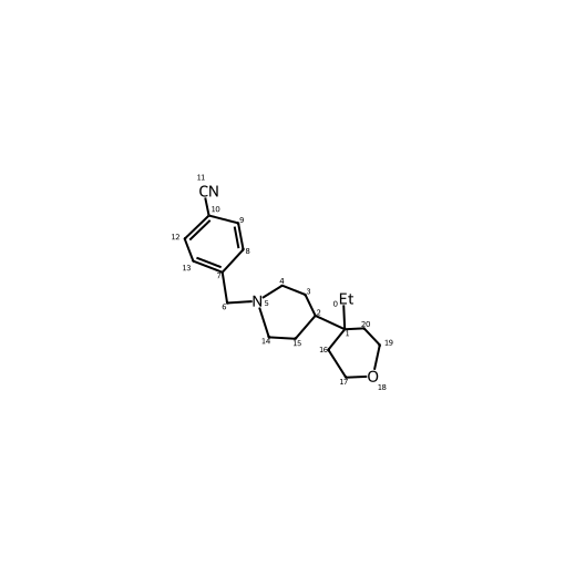 CCC1(C2CCN(Cc3ccc(C#N)cc3)CC2)CCOCC1